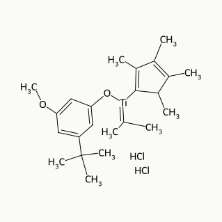 COc1cc([O][Ti]([C]2=C(C)C(C)=C(C)C2C)=[C](C)C)cc(C(C)(C)C)c1.Cl.Cl